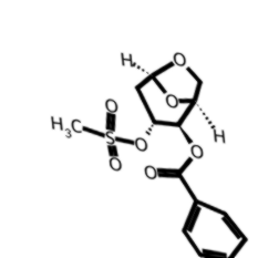 CS(=O)(=O)O[C@@H]1C[C@H]2OC[C@H](O2)[C@H]1OC(=O)c1ccccc1